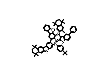 Cc1cc2c(cc1N1c3c(sc4ccc(-c5ccccc5)cc34)B3c4c(cc5c(oc6ccccc65)c41)-c1cc4c(cc1N3c1ccc(C(C)(C)C)cc1)sc1cc3c(cc14)C(C)(C)CCC3(C)C)C(C)(C)CCC2(C)C